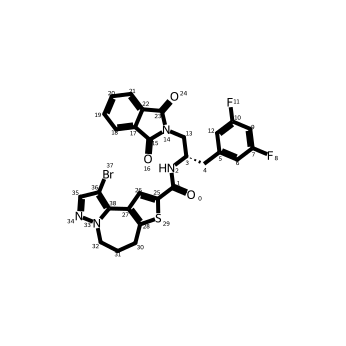 O=C(N[C@@H](Cc1cc(F)cc(F)c1)CN1C(=O)c2ccccc2C1=O)c1cc2c(s1)CCCn1ncc(Br)c1-2